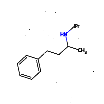 CC(C)NC(C)CCc1ccccc1